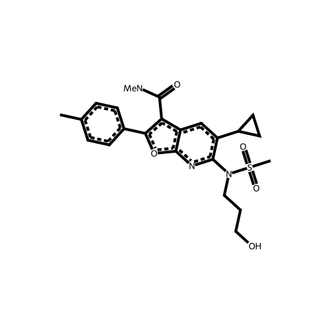 CNC(=O)c1c(-c2ccc(C)cc2)oc2nc(N(CCCO)S(C)(=O)=O)c(C3CC3)cc12